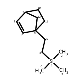 C[Si](C)(C)CCC12C=CC(CC1)C2